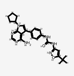 CC(C)(C)c1cc(NC(=O)Nc2ccc(-c3cn(C4CCCC4)c4ncnc(N)c34)cc2)no1